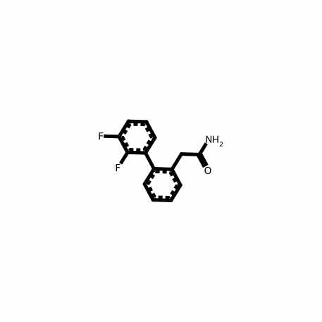 NC(=O)Cc1ccccc1-c1cccc(F)c1F